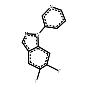 Fc1cc2cnn(-c3cccnc3)c2cc1F